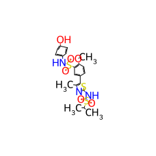 COc1ccc(-c2sc(NS(=O)(=O)C(C)C)nc2C)cc1S(=O)(=O)Nc1ccc(O)cc1